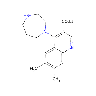 CCOC(=O)c1cnc2cc(C)c(C)cc2c1N1CCCNCC1